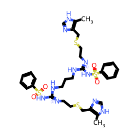 Cc1[nH]cnc1CSCC/N=C(\NCCCN/C(=N\CCSCc1nc[nH]c1C)NS(=O)(=O)c1ccccc1)NS(=O)(=O)c1ccccc1